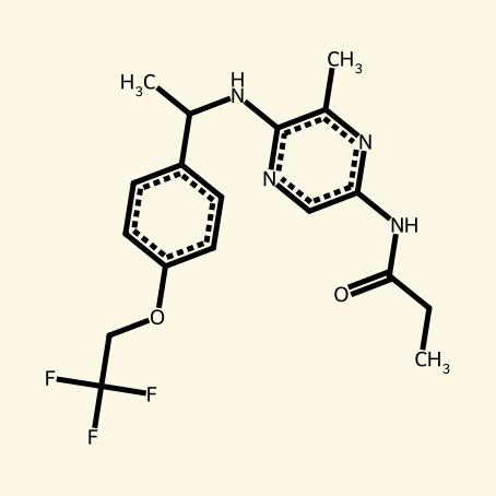 CCC(=O)Nc1cnc(NC(C)c2ccc(OCC(F)(F)F)cc2)c(C)n1